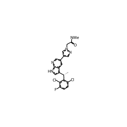 CNC(=O)Cn1cc(-c2cnc3[nH]cc([C@H](C)c4c(Cl)ccc(F)c4Cl)c3c2)cn1